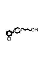 OCCCCN1CCN(c2cccc(Cl)c2)CC1